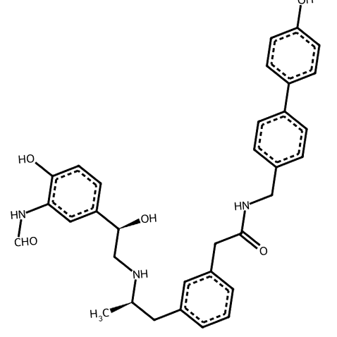 C[C@H](Cc1cccc(CC(=O)NCc2ccc(-c3ccc(O)cc3)cc2)c1)NC[C@H](O)c1ccc(O)c(NC=O)c1